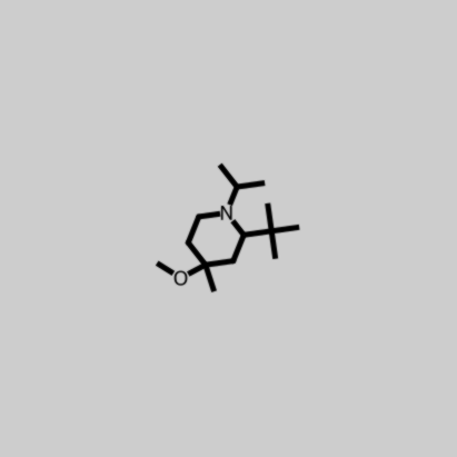 COC1(C)CCN(C(C)C)C(C(C)(C)C)C1